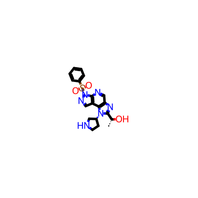 C[C@@H](O)c1nc2cnc3c(cnn3S(=O)(=O)c3ccccc3)c2n1[C@H]1CCNC1